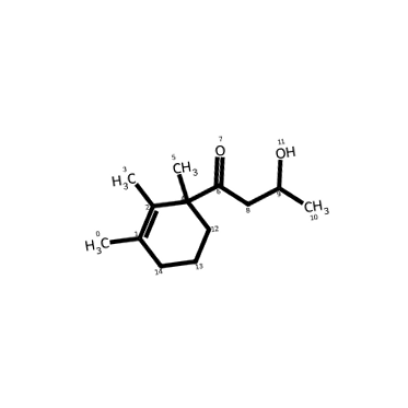 CC1=C(C)C(C)(C(=O)CC(C)O)CCC1